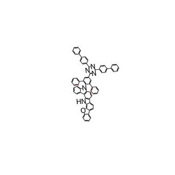 c1ccc(-c2ccc(-c3nc(-c4ccc(-c5ccccc5)cc4)nc(-c4cc(-c5ccccc5)c(-n5c6ccccc6c6c7[nH]c8c(ccc9c%10ccccc%10oc98)c7ccc65)c(-c5ccccc5)c4)n3)cc2)cc1